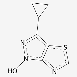 On1nc(C2CC2)c2scnc21